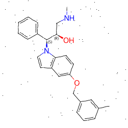 CNC[C@@H](O)[C@H](c1ccccc1)n1ccc2cc(OCc3cccc(C)c3)ccc21